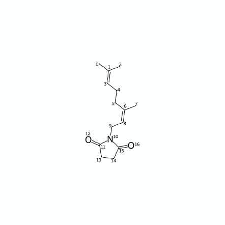 CC(C)=CCCC(C)=CCN1C(=O)CCC1=O